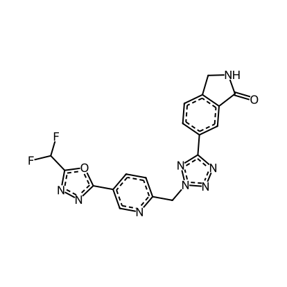 O=C1NCc2ccc(-c3nnn(Cc4ccc(-c5nnc(C(F)F)o5)cn4)n3)cc21